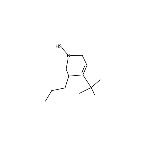 CCCC1CN(S)CC=C1C(C)(C)C